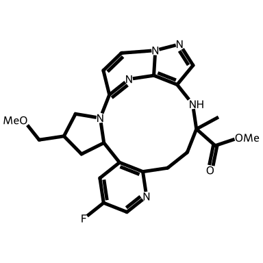 COCC1CC2c3cc(F)cnc3CCC(C)(C(=O)OC)Nc3cnn4ccc(nc34)N2C1